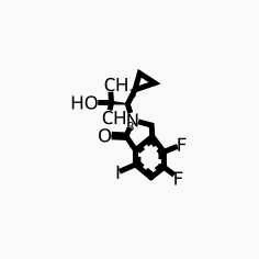 CC(C)(O)[C@@H](C1CC1)N1Cc2c(F)c(F)cc(I)c2C1=O